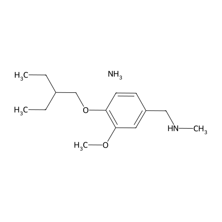 CCC(CC)COc1ccc(CNC)cc1OC.N